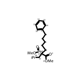 COC(=O)C(CCCCCc1ccccc1)(CC(C)C)[PH](=O)OC